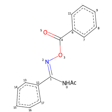 CC(=O)N/C(=N\OC(=O)c1ccccc1)c1ccccc1